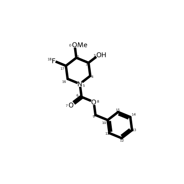 COC1C(O)CN(C(=O)OCc2ccccc2)CC1F